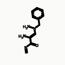 C=NC(=O)/C(N)=C/N(N)Cc1ccccc1